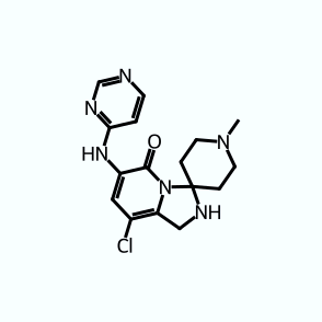 CN1CCC2(CC1)NCc1c(Cl)cc(Nc3ccncn3)c(=O)n12